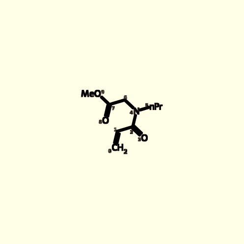 C=CC(=O)N(CCC)CC(=O)OC